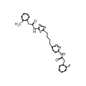 Cc1ccccc1CC(=O)Nc1nnc(CCCCc2ccc(NC(=O)Cc3ccccc3F)nn2)s1